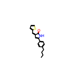 CCCCc1ccc(C2=CC(=Cc3cccs3)C(=O)N2)cc1